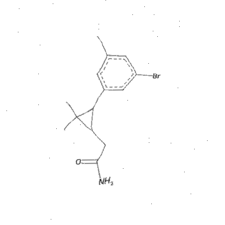 Cc1cc(Br)cc(C2C(CC(N)=O)C2(C)C)c1